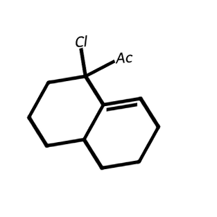 CC(=O)C1(Cl)CCCC2CCCC=C21